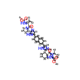 COC(=O)N[C@H](C(=O)N1CCC[C@H]1c1ncc(-c2ccc3cc(-c4cnc([C@H]5CCCC[C@H]5C(=O)N(NC(=O)OC)C(C)C)[nH]4)ccc3c2)[nH]1)C(C)C